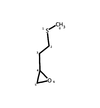 CSCCC1CO1